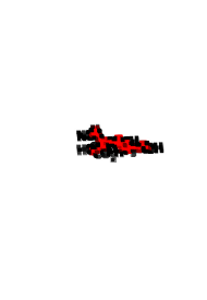 Cc1c(COCCN2CC[C@@H](O)C2)cccc1-c1cccc(COc2cc(OCc3cncc(C#N)c3)c(CNC(C)(CO)C(=O)O)cc2Cl)c1C